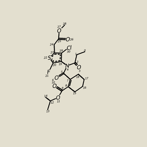 CCC(=O)N(C(=O)C1=C(C(=O)OC(C)C)CCCC1)c1c(F)sc(CC(=O)OC)c1Cl